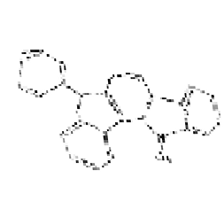 Cn1c2ccccc2c2ccc3c(c21)-c1ccccc1C3c1ccccc1